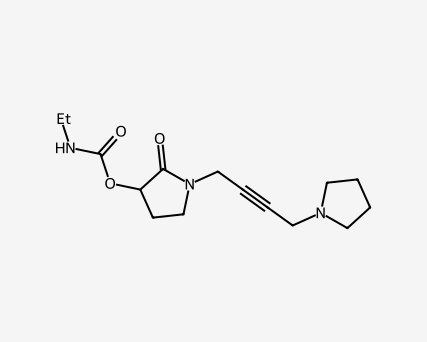 CCNC(=O)OC1CCN(CC#CCN2CCCC2)C1=O